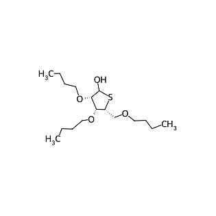 CCCCOC[C@H]1SC(O)[C@@H](OCCCC)[C@H]1OCCCC